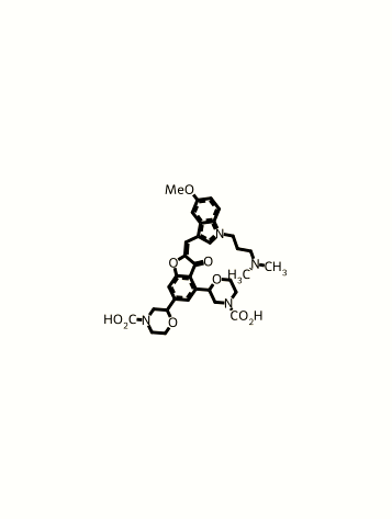 COc1ccc2c(c1)c(C=C1Oc3cc(C4CN(C(=O)O)CCO4)cc(C4CN(C(=O)O)CCO4)c3C1=O)cn2CCCN(C)C